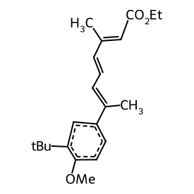 CCOC(=O)C=C(C)C=CC=C(C)c1ccc(OC)c(C(C)(C)C)c1